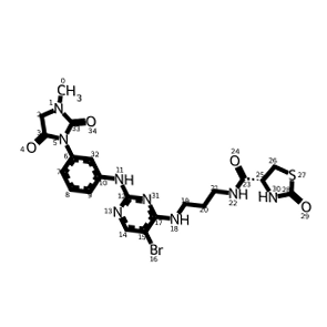 CN1CC(=O)N(c2cccc(Nc3ncc(Br)c(NCCCNC(=O)[C@@H]4CSC(=O)N4)n3)c2)C1=O